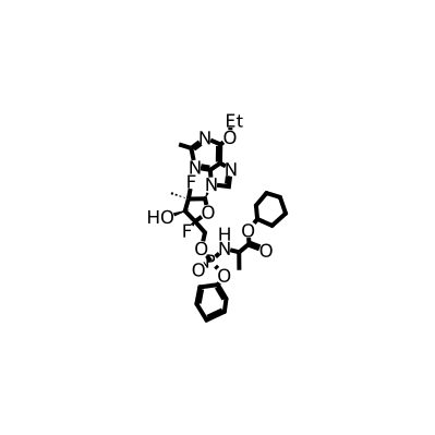 CCOc1nc(C)nc2c1ncn2[C@@H]1O[C@](F)(COP(=O)(NC(C)C(=O)OC2CCCCC2)Oc2ccccc2)[C@@H](O)[C@@]1(C)F